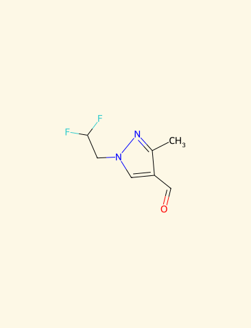 Cc1nn(CC(F)F)cc1C=O